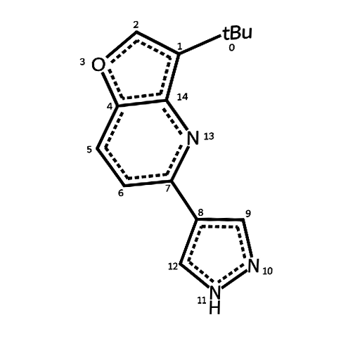 CC(C)(C)c1coc2ccc(-c3cn[nH]c3)nc12